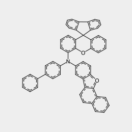 c1ccc(-c2ccc(N(c3ccc4oc5c6ccccc6ccc5c4c3)c3cccc4c3Oc3ccccc3C43c4ccccc4-c4ccccc43)cc2)cc1